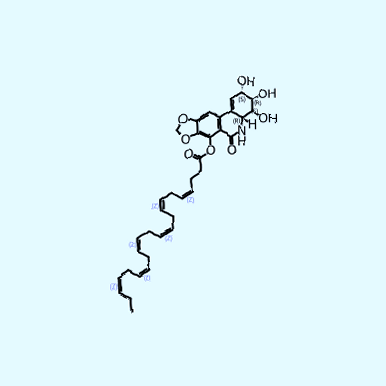 CC/C=C\C/C=C\C/C=C\C/C=C\C/C=C\C/C=C\CCC(=O)Oc1c2c(cc3c1C(=O)N[C@@H]1C3=C[C@H](O)[C@@H](O)[C@H]1O)OCO2